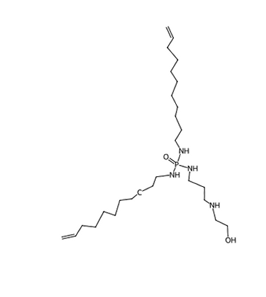 C=CCCCCCCCCCNP(=O)(NCCCCCCCCCC=C)NCCCNCCO